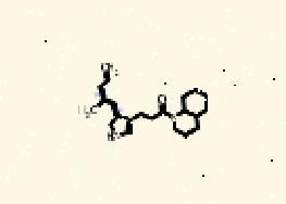 C=C/C=C(C)\C=C1/CNC=C1CCC(=O)N1CCCC2CCCCC21